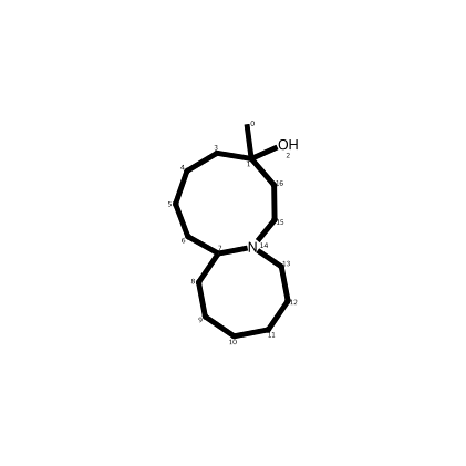 CC1(O)CCCCC2CCCCCCN2CC1